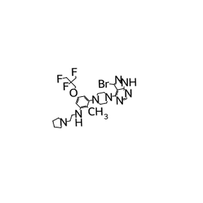 Cc1c(NCCN2CCCC2)cc(OCC(F)(CF)CF)cc1N1CCN(c2ncnc3[nH]nc(Br)c23)CC1